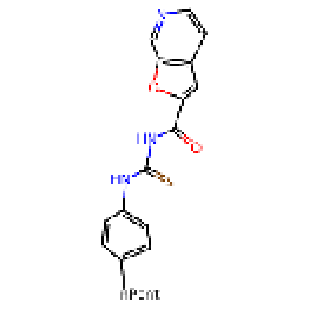 CCCCCc1ccc(NC(=S)NC(=O)c2cc3ccncc3o2)cc1